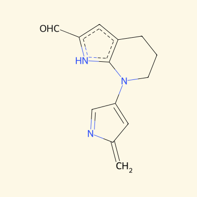 C=C1C=C(N2CCCc3cc(C=O)[nH]c32)C=N1